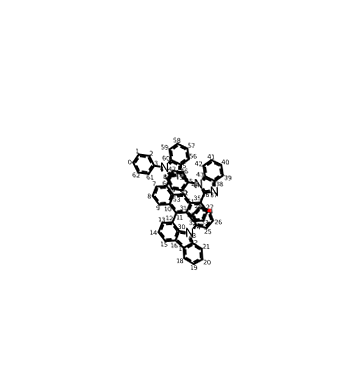 c1ccc(-n2c(-c3cccc4c(-c5cccc6c7ccccc7n(-c7ccccc7)c56)c5cccc(-c6nc7ccccc7n6-c6ccccc6)c5cc34)nc3ccccc32)cc1